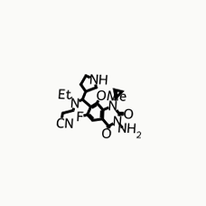 CCN(CCC#N)C(c1c(F)cc2c(=O)n(N)c(=O)n(C3CC3)c2c1OC)C1CCNC1